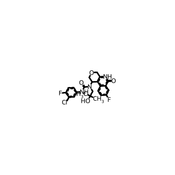 CC(C)(O)CN(C(=O)Nc1ccc(F)c(Cl)c1)C1COCc2[nH]c(=O)c3cc(F)ccc3c21